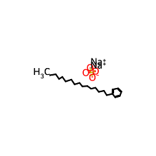 CCCCCCCCCCCCCCCCc1ccccc1.O=S(=O)([O-])[O-].[Na+].[Na+]